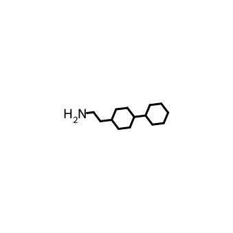 NCCC1CCC(C2CCCCC2)CC1